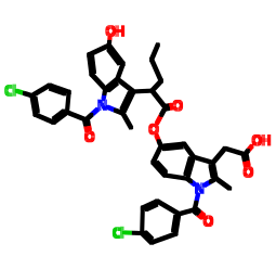 CCCC(C(=O)Oc1ccc2c(c1)c(CC(=O)O)c(C)n2C(=O)c1ccc(Cl)cc1)c1c(C)n(C(=O)c2ccc(Cl)cc2)c2ccc(O)cc12